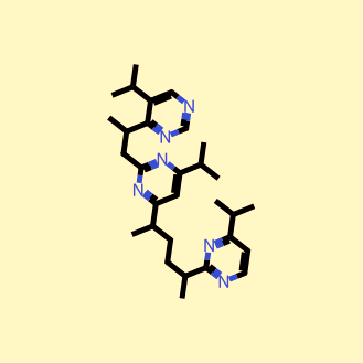 CC(C)c1cc(C(C)CCC(C)c2nccc(C(C)C)n2)nc(CC(C)c2ncncc2C(C)C)n1